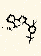 O=C(O)c1ccccc1-c1ncc(-c2cc(C(F)(F)F)ccc2Cl)o1